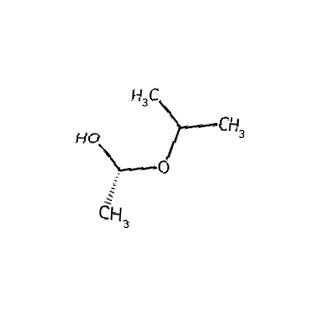 CC(C)O[C@H](C)O